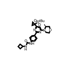 C[C@H]1COCCN1c1cc(C2(S(=O)(=O)C(C)(C)C)CC2)nc(-c2ccc(NC(=O)NC3CCC3)cc2)n1